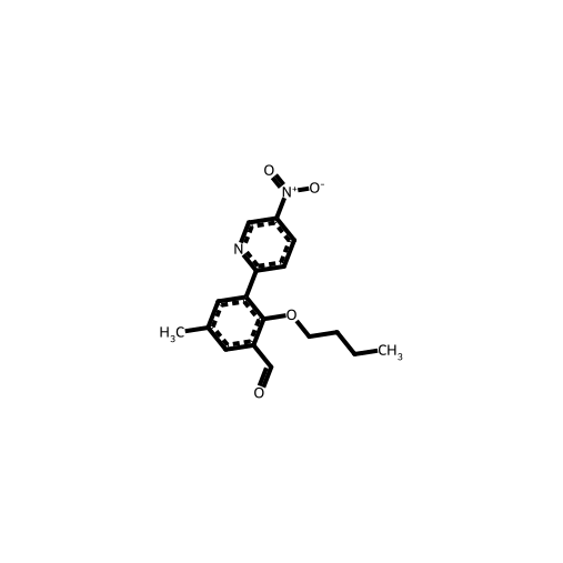 CCCCOc1c(C=O)cc(C)cc1-c1ccc([N+](=O)[O-])cn1